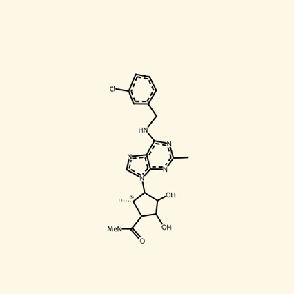 CNC(=O)C1C(O)C(O)C(n2cnc3c(NCc4cccc(Cl)c4)nc(C)nc32)[C@H]1C